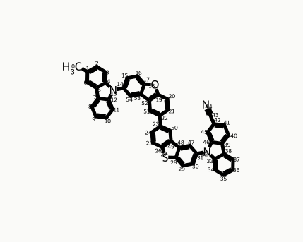 Cc1ccc2c(c1)c1ccccc1n2-c1ccc2oc3ccc(-c4ccc5sc6ccc(-n7c8ccccc8c8ccc(C#N)cc87)cc6c5c4)cc3c2c1